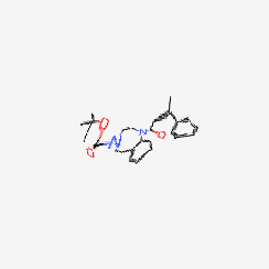 CC(=CC(=O)N1CCN(C(=O)OC(C)(C)C)Cc2ccccc21)c1ccccc1